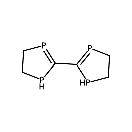 C1CPC(C2=PCCP2)=P1